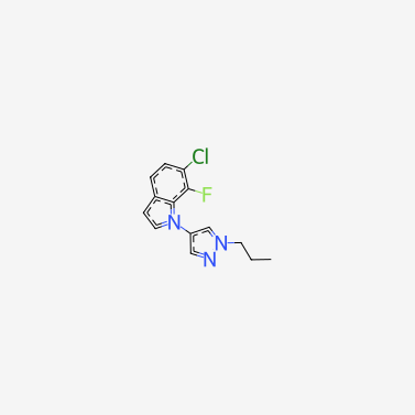 CCCn1cc(-n2ccc3ccc(Cl)c(F)c32)cn1